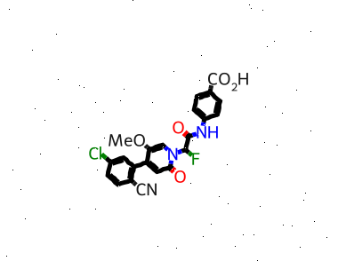 COc1cn(C(F)C(=O)Nc2ccc(C(=O)O)cc2)c(=O)cc1-c1cc(Cl)ccc1C#N